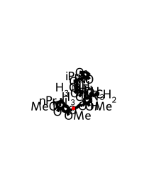 C=CNC(=O)c1cc(OC)c(OCCCOc2cc3c(cc2OC)C(=O)N(OC)[C@@H](CCC)C=N3)cc1N(C)C(C)NC(=O)[C@H](C)NC(=O)[C@@H](NN1C(=O)CCC1=O)C(C)C